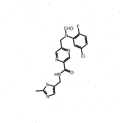 Cc1ncc(CNC(=O)c2cnc(CN(C=O)c3cc(Cl)ccc3F)cn2)s1